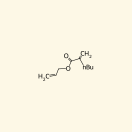 C=CCOC(=O)C(=C)CCCC